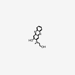 CN(CCO)c1cc2nc3ccccc3nc2cc1O